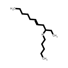 CCCCCC=CCC(CC)[N]CCCCC